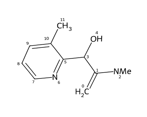 C=C(NC)C(O)c1ncccc1C